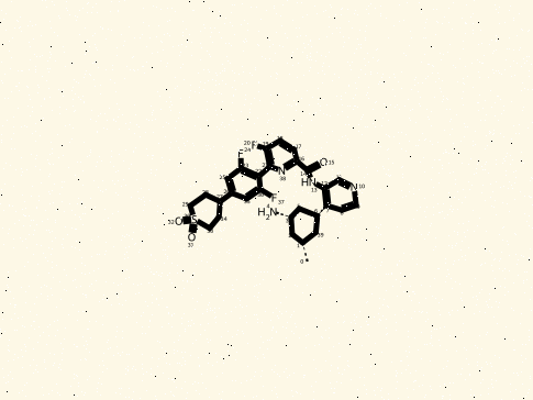 C[C@@H]1C[C@H](N)C[C@H](c2ccncc2NC(=O)c2ccc(F)c(-c3c(F)cc(C4CCS(=O)(=O)CC4)cc3F)n2)C1